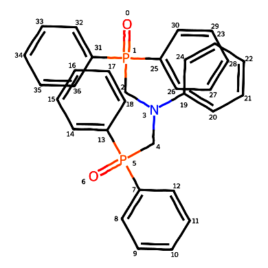 O=P(CN(CP(=O)(c1ccccc1)c1ccccc1)c1ccccc1)(c1ccccc1)c1ccccc1